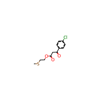 CSCCOC(=O)CC(=O)c1ccc(Cl)cc1